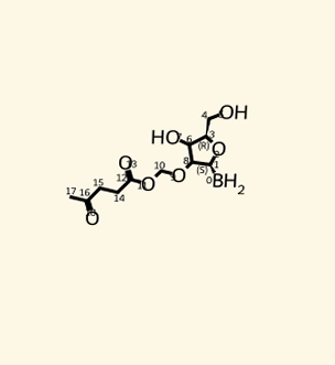 B[C@@H]1O[C@H](CO)C(O)C1OCOC(=O)CCC(C)=O